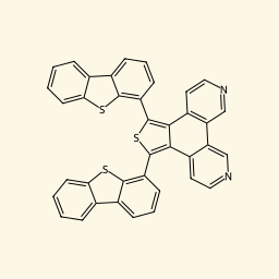 c1ccc2c(c1)sc1c(-c3sc(-c4cccc5c4sc4ccccc45)c4c5ccncc5c5cnccc5c34)cccc12